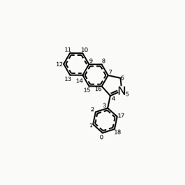 c1ccc(C2=NCc3cc4ccccc4cc32)cc1